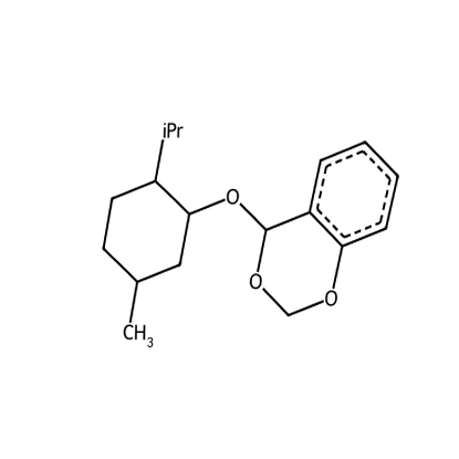 CC1CCC(C(C)C)C(OC2OCOc3ccccc32)C1